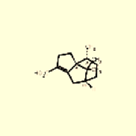 C[C@@H]1CC[C@@H]2CC3=C(C(=O)O)CC[C@@]31C2(C)C